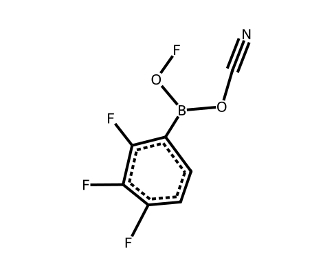 N#COB(OF)c1ccc(F)c(F)c1F